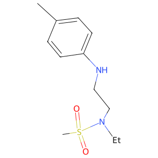 CCN(CCNc1ccc(C)cc1)S(C)(=O)=O